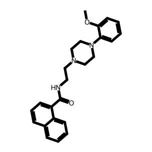 COc1ccccc1N1CCN(CCNC(=O)c2cccc3ccccc23)CC1